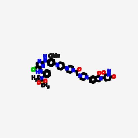 COc1cc(N2CCC(N3CCN(C(=O)CN4CCN(c5ccc6c(c5)C(=O)N(C5CCC(=O)NC5=O)C6)CC4)CC3)CC2)ccc1Nc1ncc(Cl)c(Nc2ccccc2N(C)S(C)(=O)=O)n1